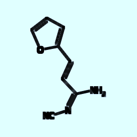 N#C/N=C(N)\C=C\c1ccco1